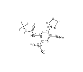 CC(C)(C)OC(=O)Nc1cc(N2CCCC2)c(C#N)cc1[N+](=O)[O-]